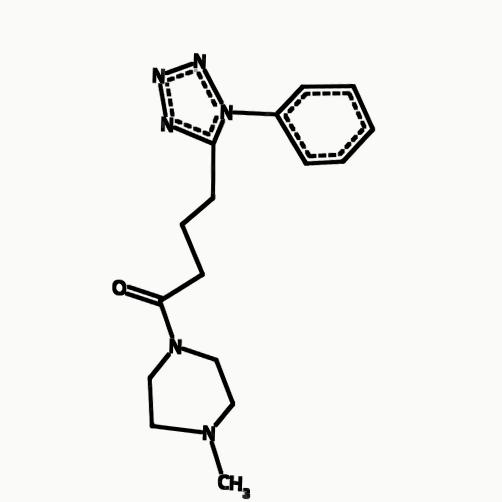 CN1CCN(C(=O)CCCc2nnnn2-c2ccccc2)CC1